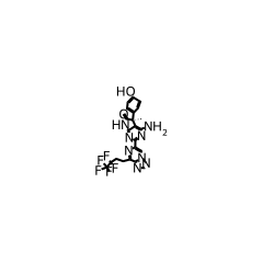 C[C@@]1(c2ccc(O)cc2)C(=O)Nc2nc(-c3cn4ncnc4c(CCC(F)(F)C(F)(F)F)n3)nc(N)c21